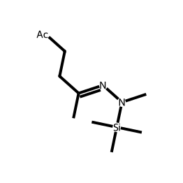 CC(=O)CCC(C)=NN(C)[Si](C)(C)C